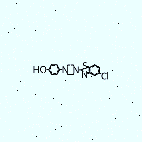 Oc1ccc(N2CCN(c3nc4cc(Cl)ccc4s3)CC2)cc1